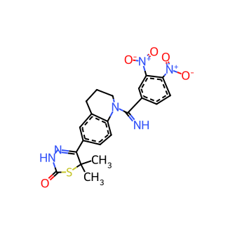 CC1(C)SC(=O)NN=C1c1ccc2c(c1)CCCN2C(=N)c1ccc([N+](=O)[O-])c([N+](=O)[O-])c1